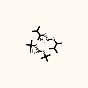 CC(C)(C)S[SiH2]SC(C)(C)C.CC(C)C(C)S[SiH2]SC(C)C(C)C